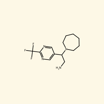 NCC(c1cnc(C(F)(F)F)nc1)N1CCCCCC1